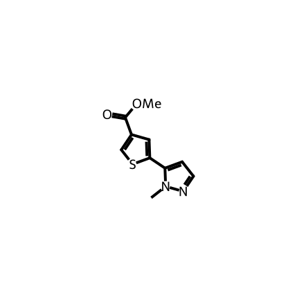 COC(=O)c1csc(-c2ccnn2C)c1